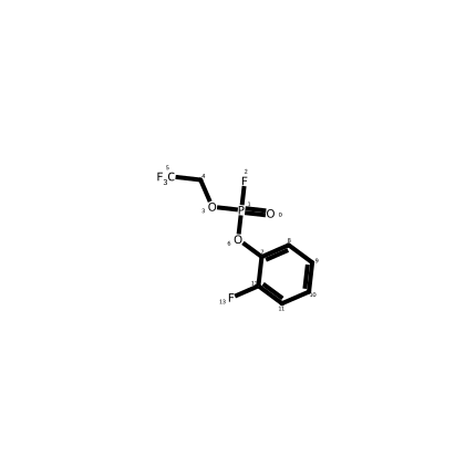 O=P(F)(OCC(F)(F)F)Oc1ccccc1F